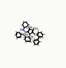 CC1=C(C)C(C)[C]([Ti]([NH]C2CCCCC2)[SiH](c2ccccc2)c2ccccc2)=C1C.c1ccc(-c2ccccc2)cc1